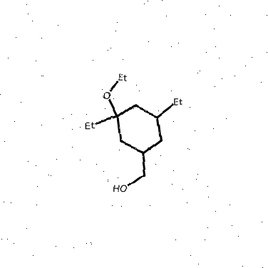 CCOC1(CC)CC(CC)CC(CO)C1